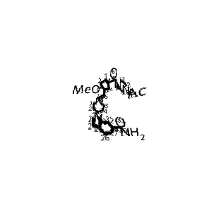 COc1ccc(C(=O)N2CCN(C(C)=O)CC2)cc1CCN1CCC(n2ccc3ccc(C(N)=O)cc32)CC1